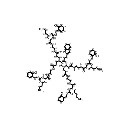 NCCCC[C@H](NC(=O)OCc1ccccc1Cl)C(=O)NCCNC(=O)CCN(CCC(=O)NCCNC(=O)[C@@H](CCCCN)NC(=O)OCc1ccccc1Cl)C[C@@H](C(=O)CCc1cc2ccccc2[nH]1)N(CCC(=O)NCCNC(=O)[C@H](CCCCN)NC(=O)OCc1ccccc1Cl)CCC(=O)NCCNC(=O)[C@H](CCCCN)NC(=O)OCc1ccccc1Cl